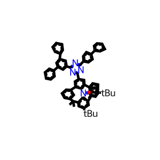 CC(C)(C)c1ccc2c(c1)c1cc(C(C)(C)C)cc3c1n2-c1c(-c2ccccc2)cc(-c2nc(-c4ccc(-c5ccccc5)cc4)nc(-c4cc(-c5ccccc5)cc(-c5ccccc5)c4)n2)cc1-c1cccc(c1)C3(C)C